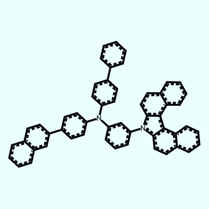 c1ccc(-c2ccc(N(c3ccc(-c4ccc5ccccc5c4)cc3)c3cccc(-n4c5ccc6ccccc6c5c5c6ccccc6ccc54)c3)cc2)cc1